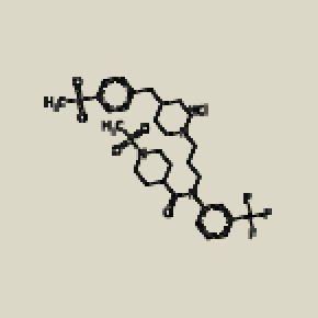 CS(=O)(=O)c1ccc(CC2CCN(CCCN(C(=O)C3CCN(S(C)(=O)=O)CC3)c3cccc(C(F)(F)F)c3)CC2)cc1.Cl